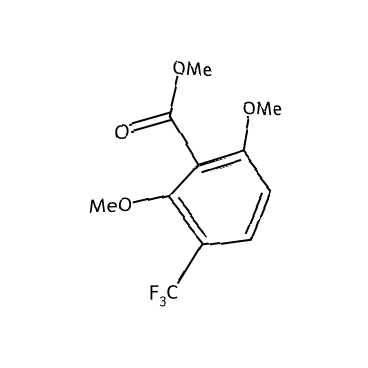 COC(=O)c1c(OC)ccc(C(F)(F)F)c1OC